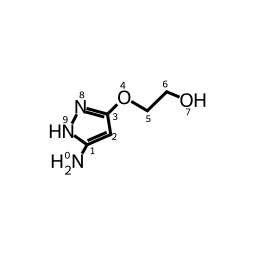 Nc1cc(OCCO)n[nH]1